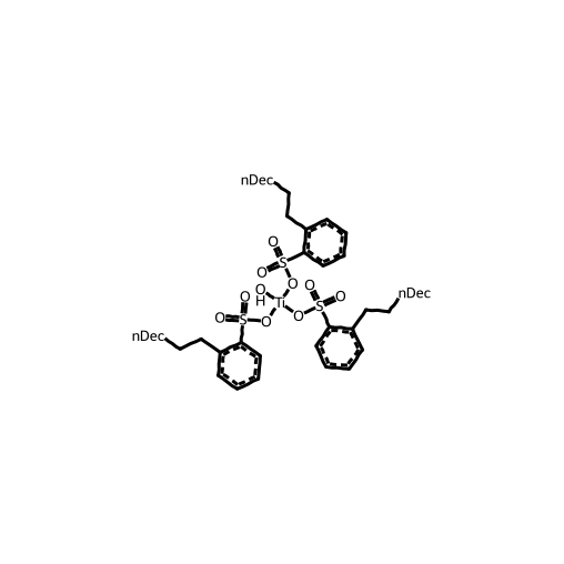 CCCCCCCCCCCCc1ccccc1S(=O)(=O)[O][Ti]([OH])([O]S(=O)(=O)c1ccccc1CCCCCCCCCCCC)[O]S(=O)(=O)c1ccccc1CCCCCCCCCCCC